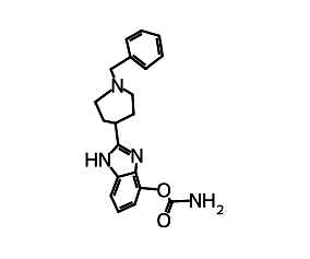 NC(=O)Oc1cccc2[nH]c(C3CCN(Cc4ccccc4)CC3)nc12